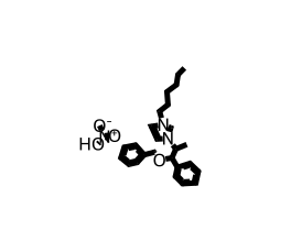 CCCCCCN1C=CN(C(C)C(OCc2ccccc2)c2ccccc2)C1.O=[N+]([O-])O